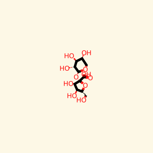 O=C(O)[C@@]1(O[C@H]2OC[C@@H](O)[C@H](O)[C@H]2O)O[C@H](CO)[C@@H](O)[C@@H]1O